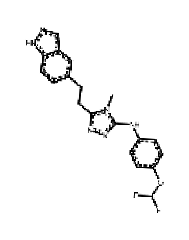 Cn1c(CCc2ccc3[nH]ncc3c2)nnc1Nc1ccc(OC(F)F)cc1